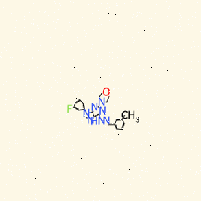 Cc1cccc(/C=N/Nc2nc(N3CCOCC3)nc3c2ncn3-c2cccc(F)c2)c1